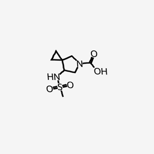 CS(=O)(=O)NC1CN(C(=O)O)CC12CC2